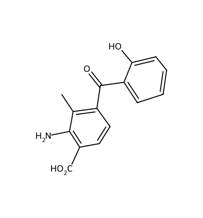 Cc1c(C(=O)c2ccccc2O)ccc(C(=O)O)c1N